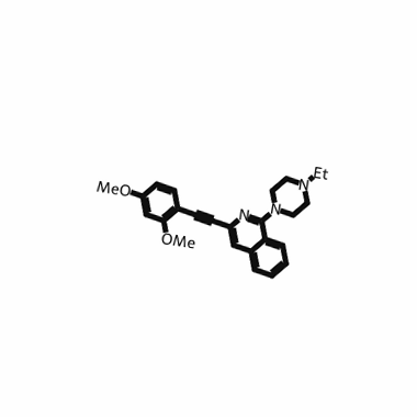 CCN1CCN(c2nc(C#Cc3ccc(OC)cc3OC)cc3ccccc23)CC1